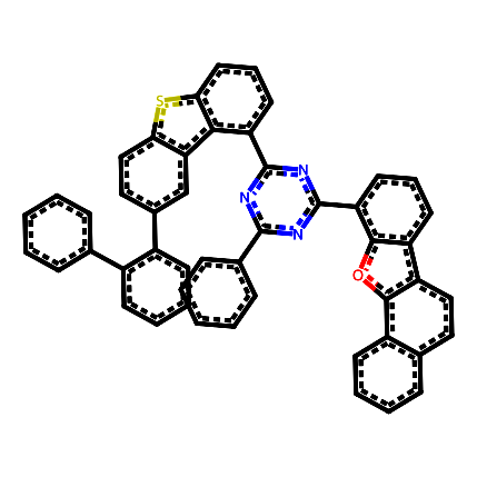 c1ccc(-c2nc(-c3cccc4c3oc3c5ccccc5ccc43)nc(-c3cccc4sc5ccc(-c6ccccc6-c6ccccc6)cc5c34)n2)cc1